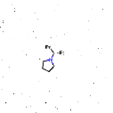 CC[C@@H](C(C)C)N1CCCC1